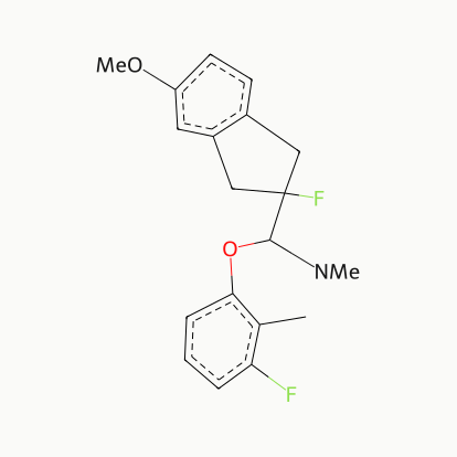 CNC(Oc1cccc(F)c1C)C1(F)Cc2ccc(OC)cc2C1